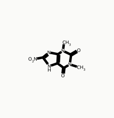 Cn1c(=O)c2[nH]c([N+](=O)[O-])nc2n(C)c1=O